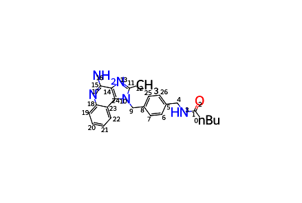 CCCCC(=O)NCc1ccc(Cn2c(C)nc3c(N)nc4ccccc4c32)cc1